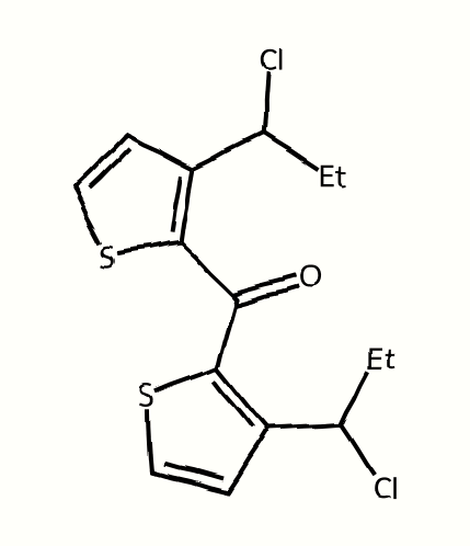 CCC(Cl)c1ccsc1C(=O)c1sccc1C(Cl)CC